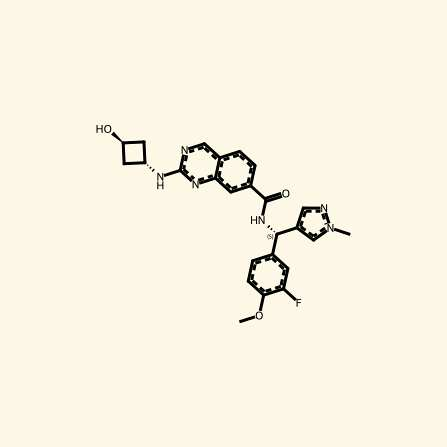 COc1ccc([C@H](NC(=O)c2ccc3cnc(N[C@H]4C[C@H](O)C4)nc3c2)c2cnn(C)c2)cc1F